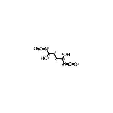 O=C=NC(O)CCC(O)N=C=O